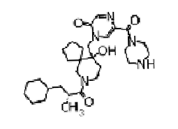 C[C@H](CC1CCCCC1)C(=O)N1CCC(O)(Cn2cc(C(=O)N3CCNCC3)ncc2=O)C2(CCCC2)C1